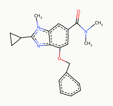 CN(C)C(=O)c1cc(OCc2ccccc2)c2nc(C3CC3)n(C)c2c1